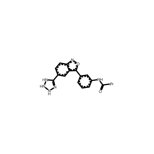 CC(C)C(=O)Nc1cccc(-c2onc3ccc(C4=NNNN4)cc23)c1